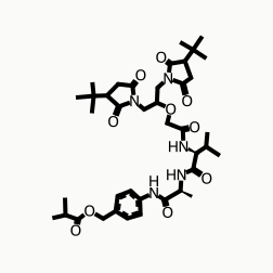 CC(C)C(=O)OCc1ccc(NC(=O)[C@H](C)NC(=O)[C@@H](NC(=O)COC(CN2C(=O)CC(C(C)(C)C)C2=O)CN2C(=O)CC(C(C)(C)C)C2=O)C(C)C)cc1